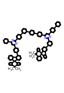 CC1(C)c2ccccc2C2(c3ccccc3-c3cc(-c4cccc(-c5nc(-c6ccc(-c7ccccc7)cc6)cc(-c6ccc(-c7ccc(-c8cccc(-c9ccc(-c%10nc(-c%11ccccc%11)cc(-c%11ccc(-c%12cccc%13c%12-c%12ccccc%12C%13%12c%13ccccc%13C(C)(C)c%13ccccc%13%12)cc%11)n%10)cc9)c8)cc7)cc6)n5)c4)ccc32)c2ccccc21